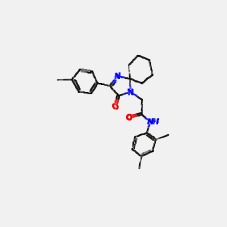 Cc1ccc(C2=NC3(CCCCC3)N(CC(=O)Nc3ccc(C)cc3C)C2=O)cc1